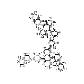 c1ccc2cc(-c3ccc(-c4c5ccccc5c(-c5cccc6c5oc5ccccc56)c5cc(-c6ccc7c(c6)oc6c(-c8c9ccccc9c(-c9ccc%10ccccc%10c9)c9ccccc89)cccc67)ccc45)cc3)ccc2c1